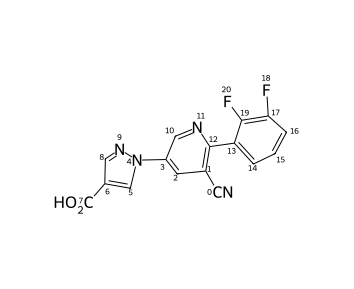 N#Cc1cc(-n2cc(C(=O)O)cn2)cnc1-c1cccc(F)c1F